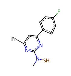 CC(C)c1cc(-c2ccc(F)cc2)nc(N(C)S)n1